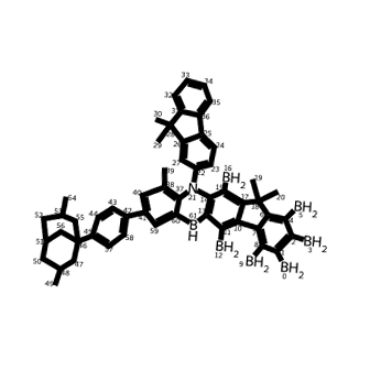 Bc1c(B)c(B)c2c(c1B)-c1c(B)c3c(c(B)c1C2(C)C)N(c1ccc2c(c1)C(C)(C)c1ccccc1-2)c1c(C)cc(-c2ccc(C45CC(C)CC(CC(C)C4)C5)cc2)cc1B3